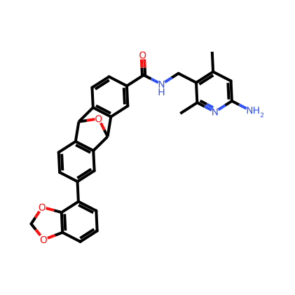 Cc1cc(N)nc(C)c1CNC(=O)c1ccc2c(c1)C1OC2c2ccc(-c3cccc4c3OCO4)cc21